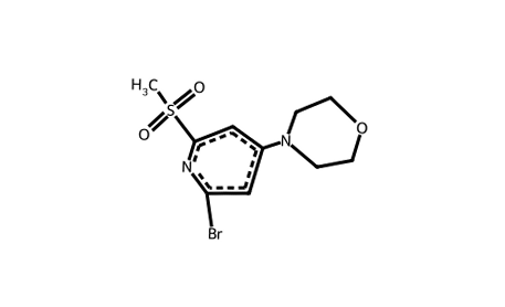 CS(=O)(=O)c1cc(N2CCOCC2)cc(Br)n1